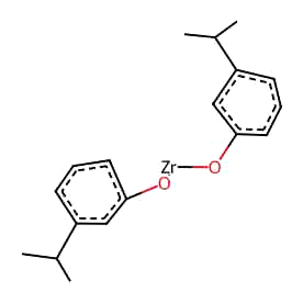 CC(C)c1cccc([O][Zr][O]c2cccc(C(C)C)c2)c1